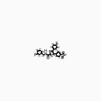 CS(=O)(=O)c1ccc(-c2sc(C(=O)NCc3cccc(F)c3)nc2-c2ccc(F)cc2)cc1